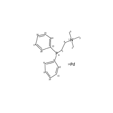 C[N+](C)(C)CCP(c1ccccc1)c1ccccc1.[Pd]